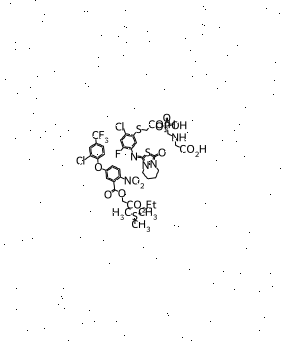 CCOC(=O)COC(=O)c1cc(Oc2ccc(C(F)(F)F)cc2Cl)ccc1[N+](=O)[O-].C[S+](C)C.O=C(O)CNCP(=O)([O-])O.O=C(O)CSc1cc(N=c2sc(=O)n3n2CCCC3)c(F)cc1Cl